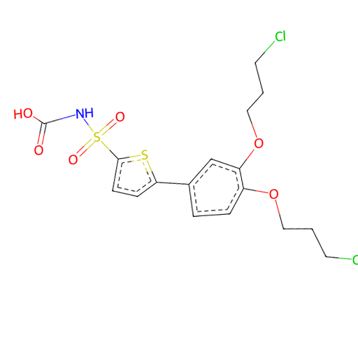 O=C(O)NS(=O)(=O)c1ccc(-c2ccc(OCCCCl)c(OCCCCl)c2)s1